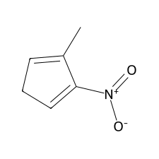 CC1=CCC=C1[N+](=O)[O-]